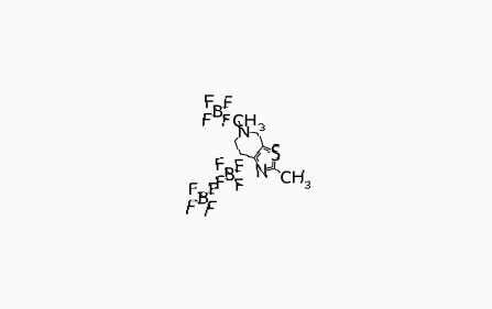 Cc1nc2c(s1)CN(C)CC2.F[B-](F)(F)F.F[B-](F)(F)F.F[B-](F)(F)F